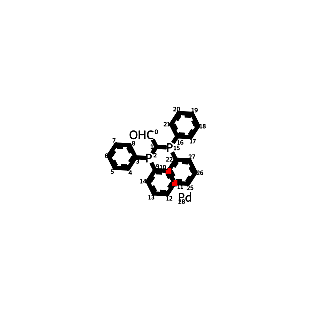 O=CC(P(c1ccccc1)c1ccccc1)P(c1ccccc1)c1ccccc1.[Pd]